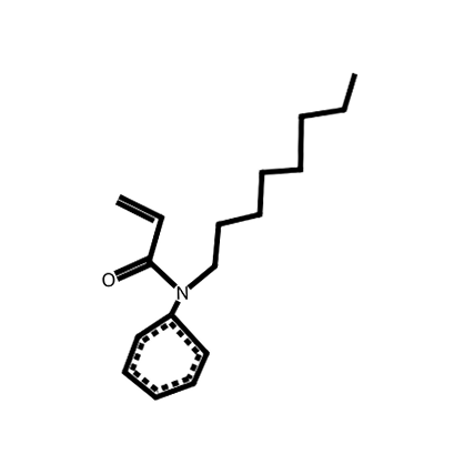 C=CC(=O)N(CCCCCCCC)c1ccccc1